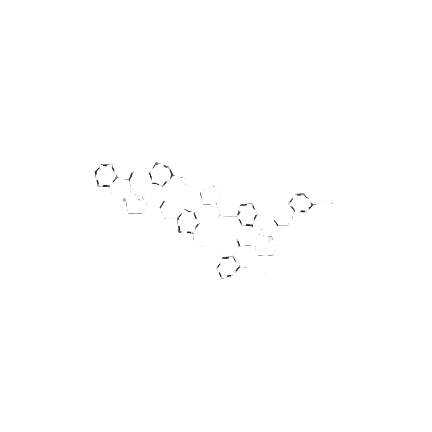 CCN(C)c1cccc([C@H]2[C@@H](C(=O)Nc3cc(C4CCCC4Nc4cccc([C@H]5[C@@H](C(=O)Nc6cccc(C(C)(C)C)c6)CCCN5C(=O)c5c(C)cccc5F)c4)cc(C(C)(C)C)c3)CCCN2C(=O)c2c(C)cccc2F)c1